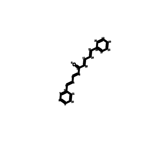 O=C(C=CC=Cc1ccccc1)C=CC=Cc1ccccc1